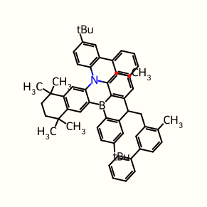 Cc1cc2c3c(c1)N(c1ccc(C(C)(C)C)cc1-c1ccccc1)c1cc4c(cc1B3c1ccc(C(C)(C)C)cc1C2Cc1cc(-c2ccccc2)ccc1C)C(C)(C)CCC4(C)C